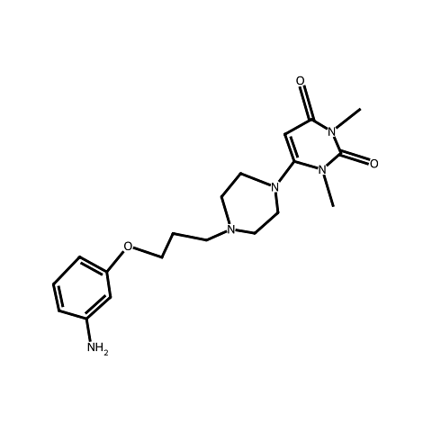 Cn1c(N2CCN(CCCOc3cccc(N)c3)CC2)cc(=O)n(C)c1=O